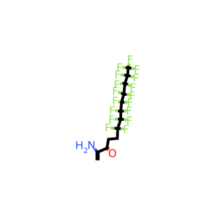 C=C(N)C(=O)CCC(F)(F)C(F)(F)C(F)(F)C(F)(F)C(F)(F)C(F)(F)C(F)(F)C(F)(F)F